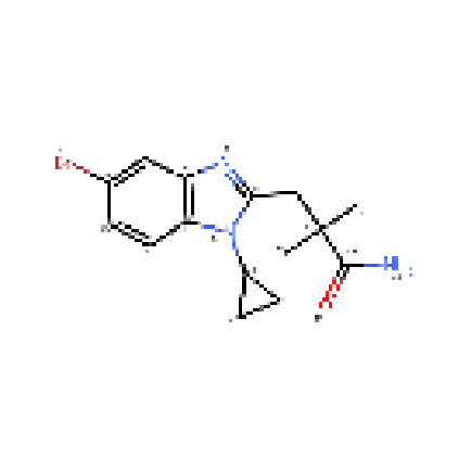 CC(C)(Cc1nc2cc(Br)ccc2n1C1CC1)C(N)=O